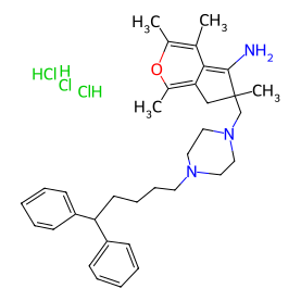 CC1=C(C)C2=C(N)C(C)(CN3CCN(CCCCC(c4ccccc4)c4ccccc4)CC3)CC2=C(C)O1.Cl.Cl.Cl